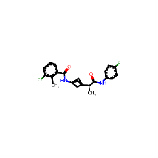 Cc1c(Cl)cccc1C(=O)NC12CC([C@H](C)C(=O)Nc3ccc(F)cc3)(C1)C2